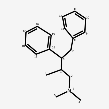 CC(CN(C)C)C(Cc1ccccc1)c1ccccc1